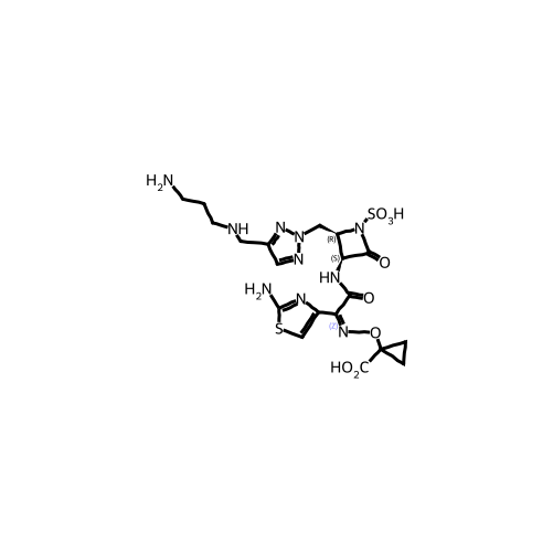 NCCCNCc1cnn(C[C@@H]2[C@H](NC(=O)/C(=N\OC3(C(=O)O)CC3)c3csc(N)n3)C(=O)N2S(=O)(=O)O)n1